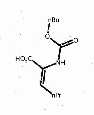 CCCC=C(NC(=O)OCCCC)C(=O)O